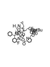 CC(C)(C)OP(=O)(OCc1cccc(C(=O)OCN2C(=O)[C@@H](NC(=O)[C@H](CCC(F)(F)F)[C@H](CC3CC3)C(N)=O)N=C(c3ccccc3)c3cccc(F)c32)n1)OC(C)(C)C